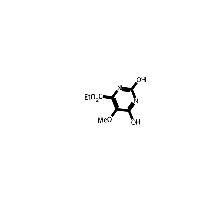 CCOC(=O)c1nc(O)nc(O)c1OC